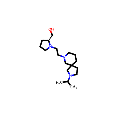 CC(C)N1CCC2(CCCN(CCN3CCC[C@H]3CO)C2)C1